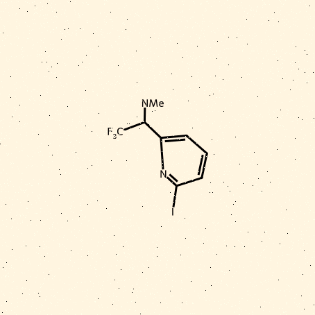 CNC(c1cccc(I)n1)C(F)(F)F